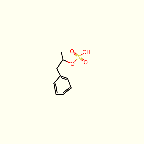 CC(Cc1ccccc1)OS(=O)(=O)O